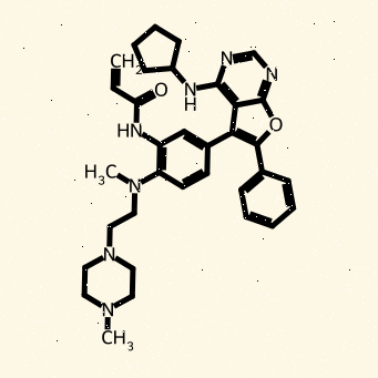 C=CC(=O)Nc1cc(-c2c(-c3ccccc3)oc3ncnc(NC4CCCC4)c23)ccc1N(C)CCN1CCN(C)CC1